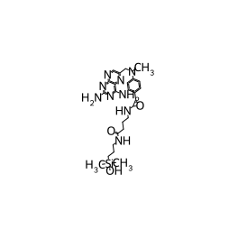 CN(Cc1cnc2nc(N)nc(N)c2n1)c1ccc(C2OC2NCCCC(=O)NCCC[Si](C)(C)O)cc1